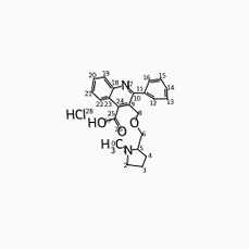 CN1CCCC1COCc1c(-c2ccccc2)nc2ccccc2c1C(=O)O.Cl